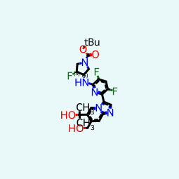 CC(C)(C)OC(=O)N1C[C@H](Nc2nc(-c3cnc4cc(CO)c(C(C)(C)O)cn34)c(F)cc2F)[C@@H](F)C1